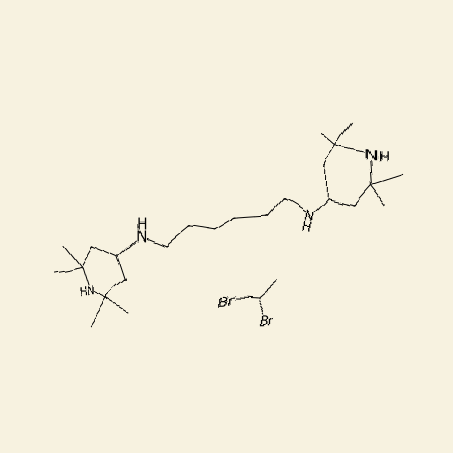 CC(Br)Br.CC1(C)CC(NCCCCCCNC2CC(C)(C)NC(C)(C)C2)CC(C)(C)N1